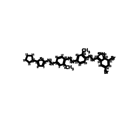 Cc1cc(/N=N/c2ccc(N3CCCC3)s2)ccc1/N=N/c1ccc(/N=N/c2snc3c(Br)cc(Br)cc23)c(C)c1